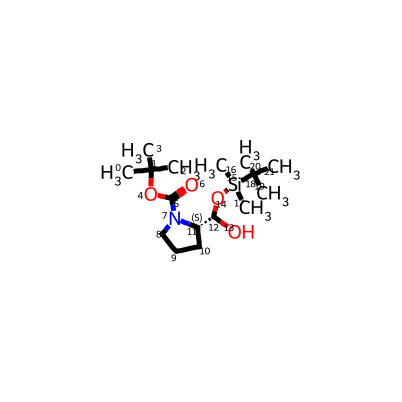 CC(C)(C)OC(=O)N1CCC[C@H]1C(O)O[Si](C)(C)C(C)(C)C